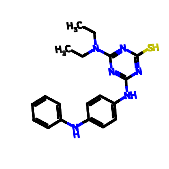 CCN(CC)c1nc(S)nc(Nc2ccc(Nc3ccccc3)cc2)n1